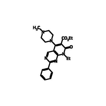 CCOC(=O)c1c(N2CCN(C)CC2)c2cnc(-c3ccccc3)nc2n(CC)c1=O